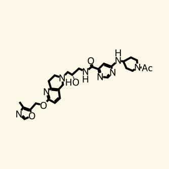 CC(=O)N1CCC(Nc2cc(C(=O)NC[C@H](O)CN3CCc4nc(OCc5ocnc5C)ccc4C3)ncn2)CC1